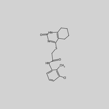 Cc1c(Cl)cccc1NC(=O)CSc1nc(=O)[nH]c2c1CCCC2